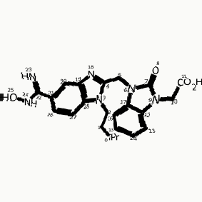 CC(C)CCn1c(Cn2c(=O)n(CC(=O)O)c3ccccc32)nc2cc(C(=N)NO)ccc21